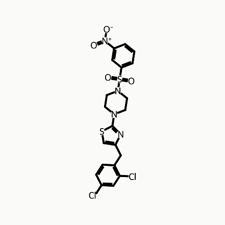 O=[N+]([O-])c1cccc(S(=O)(=O)N2CCN(c3nc(Cc4ccc(Cl)cc4Cl)cs3)CC2)c1